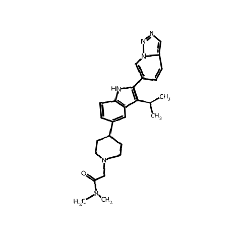 CC(C)c1c(-c2ccc3cnnn3c2)[nH]c2ccc(C3CCN(CC(=O)N(C)C)CC3)cc12